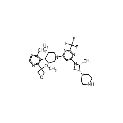 COC1(c2nccc(C)c2[C@@H]2CCN(c3cc(N4C[C@@H](N5CCNCC5)[C@H]4C)nc(C(F)(F)F)n3)C[C@H]2C)COC1